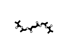 CC(COC(=O)/C=C/C(=O)OCC(C)OC(=O)C(C)C)OC(=O)C(C)C